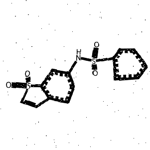 O=S1(=O)C=Cc2ccc(NS(=O)(=O)c3ccccc3)cc21